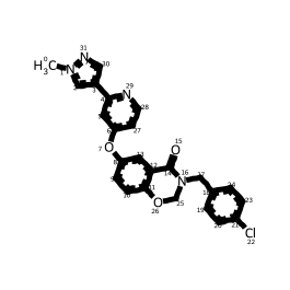 Cn1cc(-c2cc(Oc3ccc4c(c3)C(=O)N(Cc3ccc(Cl)cc3)CO4)ccn2)cn1